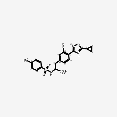 CC(C)c1ccc(S(=O)(=O)NC(Cc2ccc(-c3noc(C4CC4)n3)c(F)c2)C(=O)O)cc1